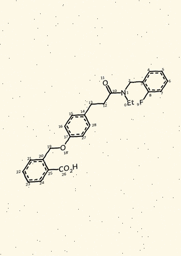 CCN(Cc1ccccc1F)C(=O)CCc1ccc(OCc2ccccc2C(=O)O)cc1